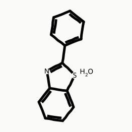 O.c1ccc(-c2nc3ccccc3s2)cc1